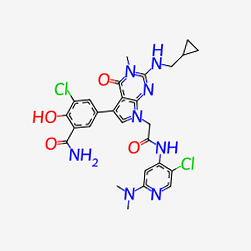 CN(C)c1cc(NC(=O)Cn2cc(-c3cc(Cl)c(O)c(C(N)=O)c3)c3c(=O)n(C)c(NCC4CC4)nc32)c(Cl)cn1